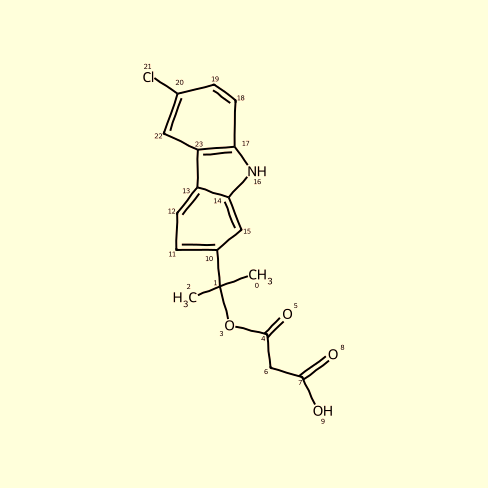 CC(C)(OC(=O)CC(=O)O)c1ccc2c(c1)[nH]c1ccc(Cl)cc12